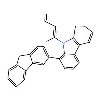 C=C/C=C(\C)n1c2c(c3cccc(-c4ccc5c(c4)-c4ccccc4C5)c31)C=CCC2